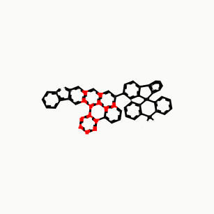 CC1(C)c2ccccc2C2(c3ccccc3-c3ccc(-c4ccc(N(c5ccc6sc7ccccc7c6c5)c5ccccc5-c5ccccc5-c5ccccc5-c5ccccc5)cc4)cc32)c2ccccc21